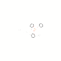 COc1ccc(C[S+]([O-])CC(=O)O)cc1OP(=O)(OCc1ccccc1)OCc1ccccc1